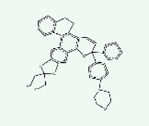 CC(C)CC1(CC(C)C)Oc2cc3c4c(c5c(c3cc2S1)OC(c1ccccc1)(c1ccc(N2CCOCC2)cc1)C=C5)CCc1ccccc1-4